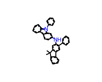 CC1(C)c2ccccc2-c2cc(-c3ccccc3)c(Nc3ccc4c5ccccc5n(-c5ccccc5)c4c3)cc21